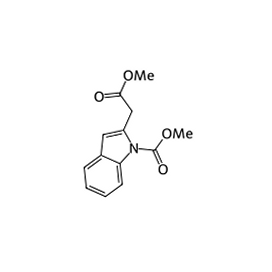 COC(=O)Cc1cc2ccccc2n1C(=O)OC